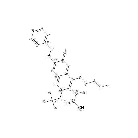 CCCCOc1c2cc(=O)c(OCc3ccccc3)cc-2cn(CC(C)(C)C)c1N(C)C(=O)O